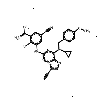 C=C(C)c1cc(C#N)cc(Nc2nc(N(Cc3ccc(OC)cc3)C3CC3)c3ncc(C#N)n3n2)c1Cl